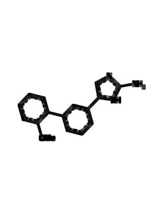 COc1ccccc1-c1cccc(-c2cnc(N)[nH]2)c1